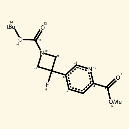 COC(=O)c1ccc(C2(F)CN(C(=O)OC(C)(C)C)C2)cn1